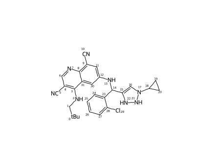 CC(C)(C)CNc1c(C#N)cnc2c(C#N)cc(NC(C3=CN(C4CC4)NN3)c3ccccc3Cl)cc12